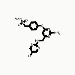 CNS(=O)(=O)Cc1ccc(Oc2cc(CNc3ncc(Cl)cn3)nc(N)n2)cc1